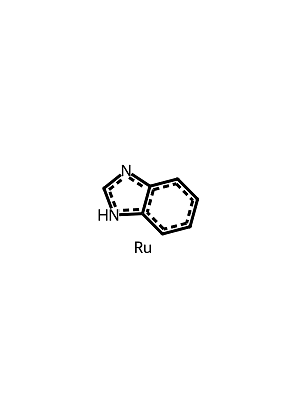 [Ru].c1ccc2[nH]cnc2c1